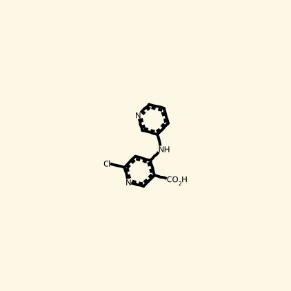 O=C(O)c1cnc(Cl)cc1Nc1cccnc1